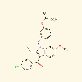 CCC(Oc1cccc(Cn2c(CBr)c(C(=O)c3ccc(Cl)cc3)c3ccc(OC(F)(F)F)cc32)c1)C(=O)O